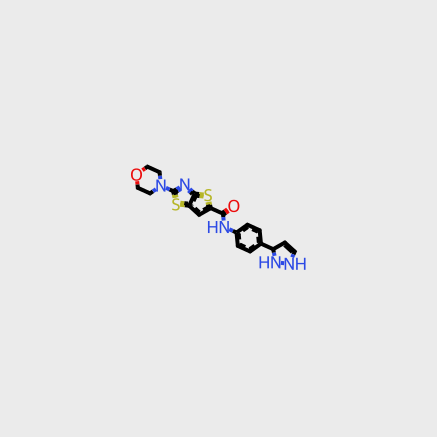 O=C(Nc1ccc(C2C=CNN2)cc1)c1cc2sc(N3CCOCC3)nc2s1